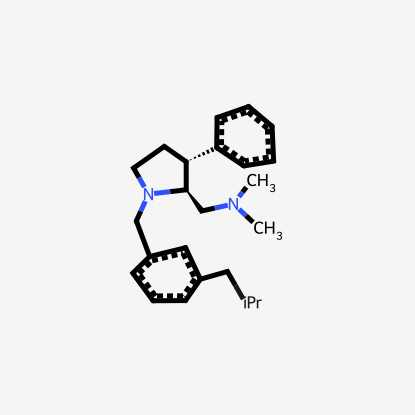 CC(C)Cc1cccc(CN2CC[C@H](c3ccccc3)[C@H]2CN(C)C)c1